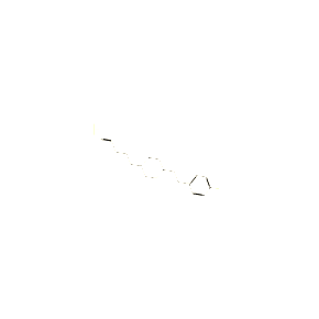 F/C=C/CCCC1CCC(CCc2ccc(F)cc2)CC1